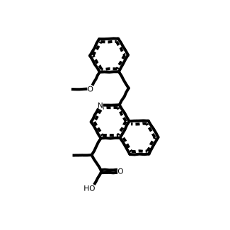 COc1ccccc1Cc1ncc(C(C)C(=O)O)c2ccccc12